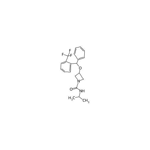 CC(C)NC(=O)N1CC(OC(c2ccccc2)c2ccccc2C(F)(F)F)C1